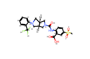 CS(=O)(=O)c1ccc(NC(=O)N2C[C@@H]3CN(c4ccccc4C(F)(F)F)C[C@@H]3C2)c(C(=O)O)c1